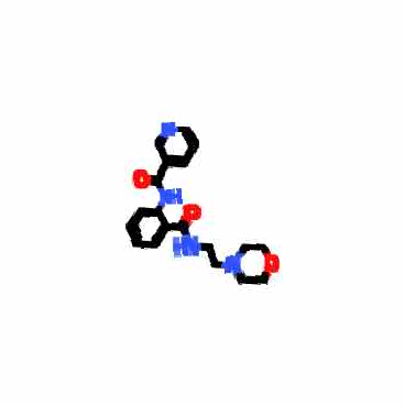 O=C(Nc1ccccc1C(=O)NCCN1CCOCC1)c1cccnc1